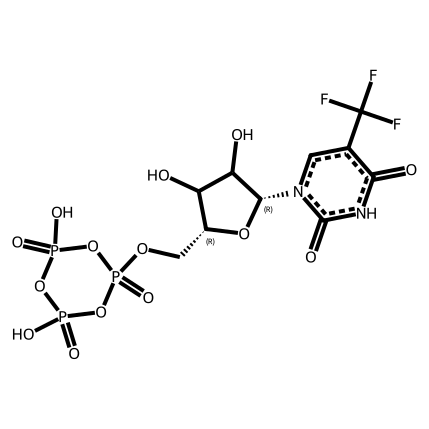 O=c1[nH]c(=O)n([C@@H]2O[C@H](COP3(=O)OP(=O)(O)OP(=O)(O)O3)C(O)C2O)cc1C(F)(F)F